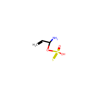 C=CC(N)OS(=O)(O)=S